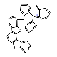 C=c1cccc/c1=C(\c1ccccc1)c1ccccc1Cc1cccc2c1oc1c2ccc2oc3ccccc3c21